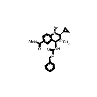 CNC(=O)c1ccc2c(c1)C(NC(=O)OCc1ccccc1)[C@@H](C)[C@H](C1CC1)N2C(C)=O